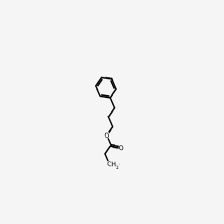 [CH2]CC(=O)OCCCc1ccccc1